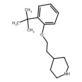 CC(C)(C)c1ccccc1OCCC1CCNCC1